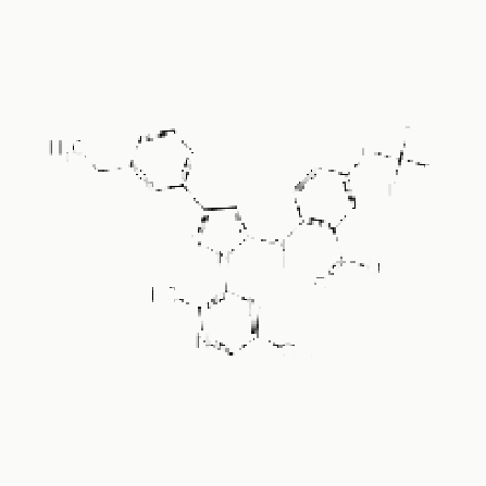 CCc1cccc(-c2cc(Nc3ccc(OC(F)(F)F)cc3C(=O)O)n(-c3nc(C)cnc3C)n2)c1